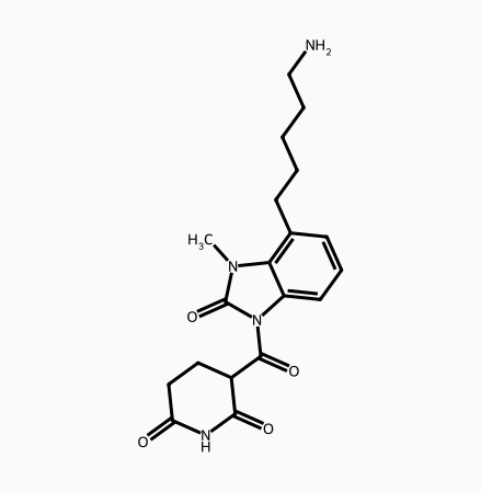 Cn1c(=O)n(C(=O)C2CCC(=O)NC2=O)c2cccc(CCCCCN)c21